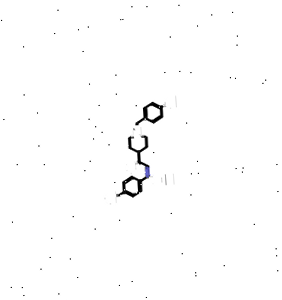 O=C(/C=C(/O)c1ccc(Cl)cc1)C1CCN(Cc2ccc(Cl)cc2)CC1